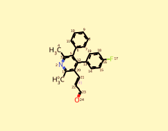 Cc1nc(C)c(-c2ccccc2)c(-c2ccc(F)cc2)c1/C=C/C=O